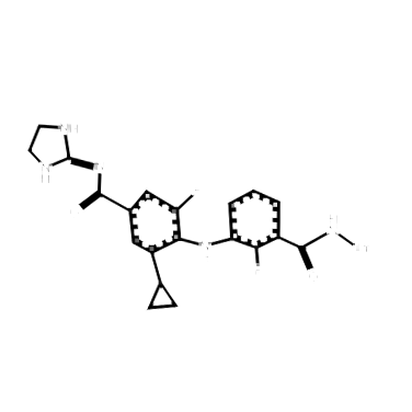 CC(C)NC(=O)c1cccc(Nc2c(F)cc(C(=O)N=C3NCCN3)cc2C2CC2)c1F